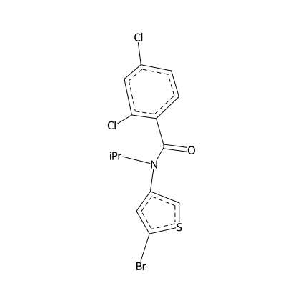 CC(C)N(C(=O)c1ccc(Cl)cc1Cl)c1csc(Br)c1